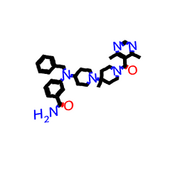 Cc1ncnc(C)c1C(=O)N1CCC(C)(N2CCC(N(Cc3ccccc3)c3cccc(C(N)=O)c3)CC2)CC1